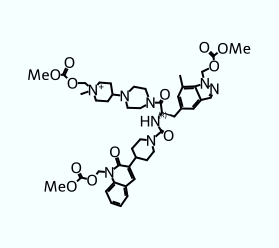 COC(=O)OCn1ncc2cc(C[C@@H](NC(=O)N3CCC(c4cc5ccccc5n(COC(=O)OC)c4=O)CC3)C(=O)N3CCN(C4CC[N+](C)(COC(=O)OC)CC4)CC3)cc(C)c21